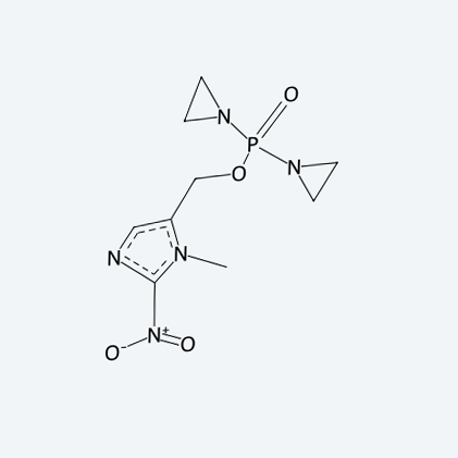 Cn1c(COP(=O)(N2CC2)N2CC2)cnc1[N+](=O)[O-]